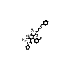 CC1=C(C(=O)OCCOCc2ccccc2)C(c2cccc(F)c2F)C(C(=O)OC2CCCC2)=C(C)N1